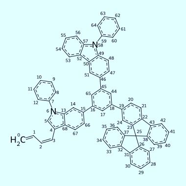 C=C/C=C\c1cn(-c2ccccc2)c2cc(-c3cc(-c4ccc5c(c4)C4(c6ccccc6-c6ccccc64)c4ccccc4-5)cc(-c4ccc5c(c4)c4ccccc4n5-c4ccccc4)c3)ccc12